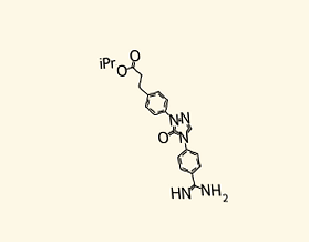 CC(C)OC(=O)CCc1ccc(-n2ncn(-c3ccc(C(=N)N)cc3)c2=O)cc1